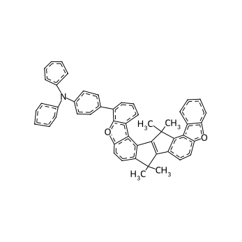 CC1(C)C2=C(c3c1ccc1oc4c(-c5ccc(N(c6ccccc6)c6ccccc6)cc5)cccc4c31)C(C)(C)c1c2ccc2oc3ccccc3c12